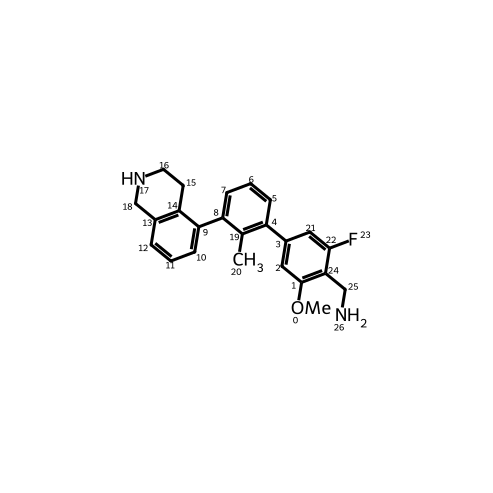 COc1cc(-c2cccc(-c3cccc4c3CCNC4)c2C)cc(F)c1CN